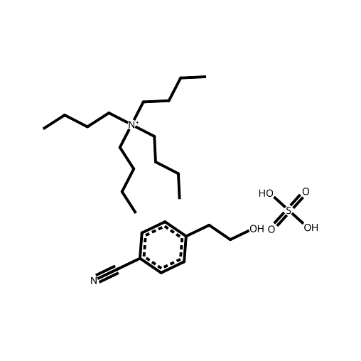 CCCC[N+](CCCC)(CCCC)CCCC.N#Cc1ccc(CCO)cc1.O=S(=O)(O)O